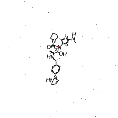 C=C(N[C@H](C)c1ccc(N2C=CCN2)cc1)[C@H](O)[C@@H](C)C(=O)N1CCC[C@@H]1c1nc(NC)sc1N